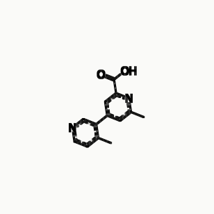 Cc1cc(-c2cnccc2C)cc(C(=O)O)n1